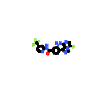 Nc1ncc(F)n2cnc(-c3ccc(C(=O)Nc4cc(C(F)(F)F)ccn4)cc3)c12